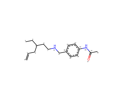 C=CCC(CC)CCNCc1ccc(NC(C)=O)cc1